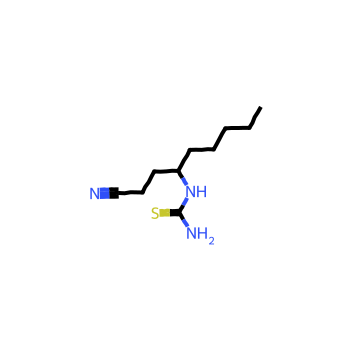 CCCCCC(CCC#N)NC(N)=S